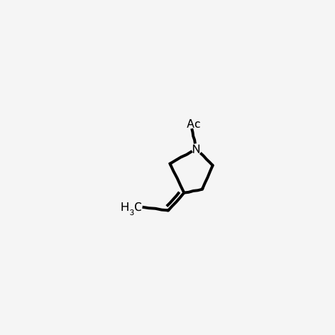 CC=C1CCN(C(C)=O)C1